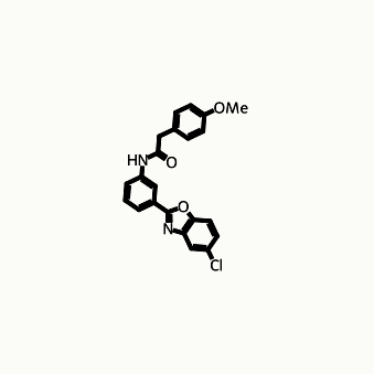 COc1ccc(CC(=O)Nc2cccc(-c3nc4cc(Cl)ccc4o3)c2)cc1